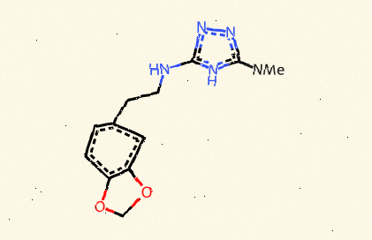 CNc1nnc(NCCc2ccc3c(c2)OCO3)[nH]1